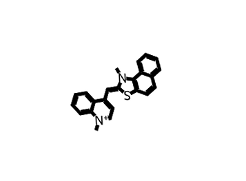 CN1/C(=C/c2cc[n+](C)c3ccccc23)Sc2ccc3ccccc3c21